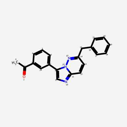 CC(=O)c1cccc(-c2cnc3ccc(Cc4ccccc4)nn23)c1